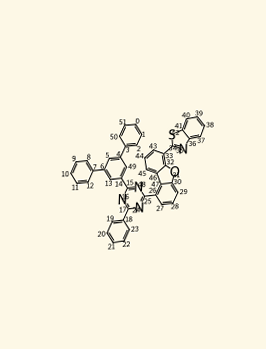 c1ccc(-c2cc(-c3ccccc3)cc(-c3nc(-c4ccccc4)nc(-c4cccc5oc6c(-c7nc8ccccc8s7)cccc6c45)n3)c2)cc1